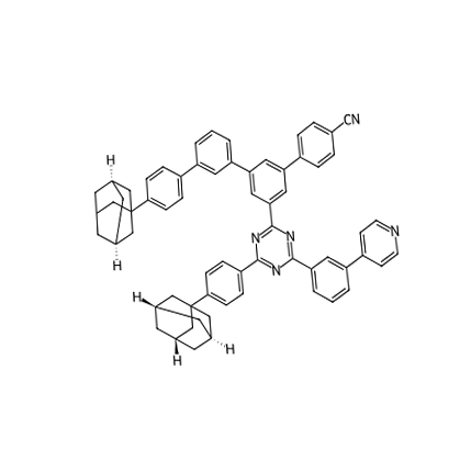 N#Cc1ccc(-c2cc(-c3cccc(-c4ccc(C56CC7C[C@H](C5)C[C@@H](C7)C6)cc4)c3)cc(-c3nc(-c4ccc(C56C[C@H]7C[C@H](C5)C[C@@H](C6)C7)cc4)nc(-c4cccc(-c5ccncc5)c4)n3)c2)cc1